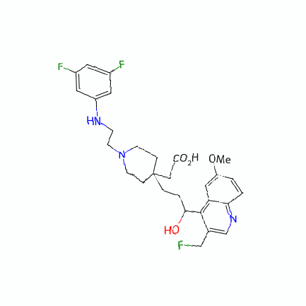 COc1ccc2ncc(CF)c(C(O)CCC3(CC(=O)O)CCN(CCNc4cc(F)cc(F)c4)CC3)c2c1